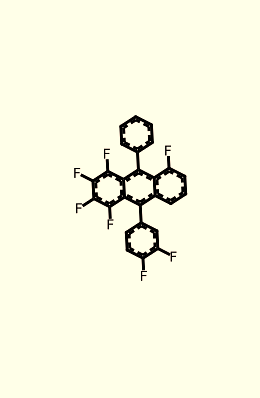 Fc1ccc(-c2c3cccc(F)c3c(-c3ccccc3)c3c(F)c(F)c(F)c(F)c23)cc1F